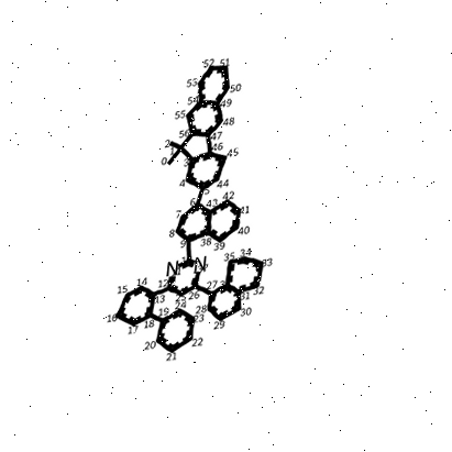 CC1(C)c2cc(-c3ccc(-c4nc(-c5ccccc5-c5ccccc5)cc(-c5cccc6ccccc56)n4)c4ccccc34)ccc2-c2cc3ccccc3cc21